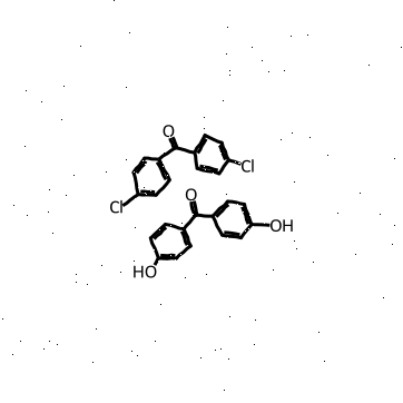 O=C(c1ccc(Cl)cc1)c1ccc(Cl)cc1.O=C(c1ccc(O)cc1)c1ccc(O)cc1